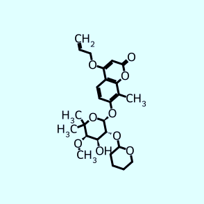 C=CCOc1cc(=O)oc2c(C)c(O[C@@H]3OC(C)(C)[C@H](OC)[C@H](O)[C@H]3OC3CCCCO3)ccc12